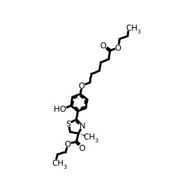 CCCOC(=O)CCCCCOc1ccc(C2=N[C@@](C)(C(=O)OCCC)CS2)c(O)c1